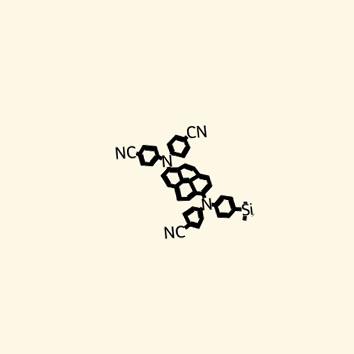 C[Si](C)(C)c1ccc(N(c2ccc(C#N)cc2)c2ccc3ccc4c(N(c5ccc(C#N)cc5)c5ccc(C#N)cc5)ccc5ccc2c3c54)cc1